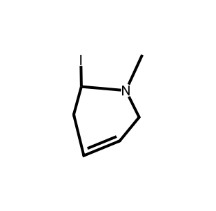 CN1CC=CCC1I